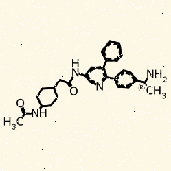 CC(=O)NC1CCC(CC(=O)Nc2cnc(-c3ccc([C@@H](C)N)cc3)c(-c3ccccc3)c2)CC1